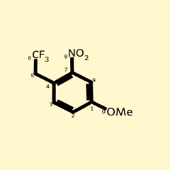 COc1ccc(CC(F)(F)F)c([N+](=O)[O-])c1